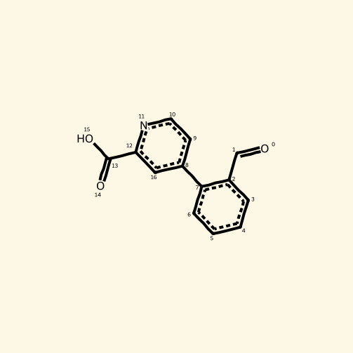 O=Cc1ccccc1-c1ccnc(C(=O)O)c1